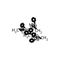 C=CCP(=O)(NCc1ccccc1)Oc1ccc(C(C)(c2ccc(OP(=O)(CC=C)NCc3ccccc3)cc2)c2ccc(OP(=O)(CC=C)NCc3ccccc3)cc2)cc1